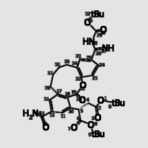 CC(C)(C)OC(=O)C[C@H](C(=O)OC(C)(C)C)c1cc(C(N)=O)cc2c1C(=O)Oc1ccc(C(=N)NC(=O)OC(C)(C)C)cc1CCCC2